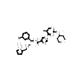 Cc1cnc(NC2CCOCC2)nc1-n1cnc(C(=O)N[C@H](CNCc2ccc[nH]2)c2cccc(Cl)c2)c1